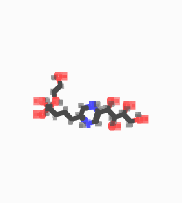 OCCOC(O)(O)CCCc1cnc(C(O)C(O)C(O)CO)cn1